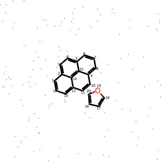 c1cc2ccc3cccc4ccc(c1)c2c34.c1ccoc1